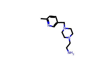 Cc1ccc(CN2CCN(CCN)CC2)cn1